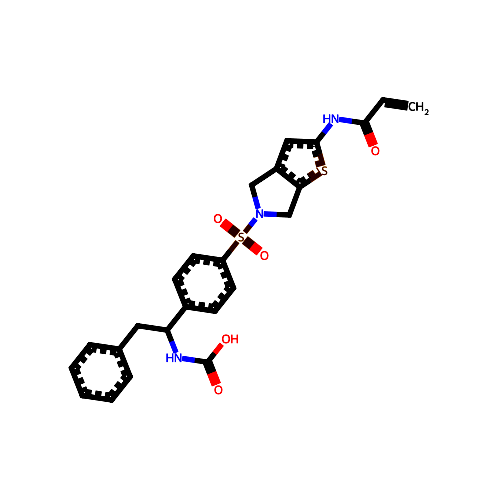 C=CC(=O)Nc1cc2c(s1)CN(S(=O)(=O)c1ccc(C(Cc3ccccc3)NC(=O)O)cc1)C2